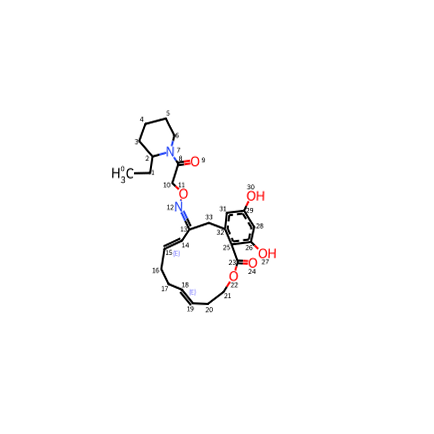 CCC1CCCCN1C(=O)CON=C1/C=C/CC/C=C/CCOC(=O)c2c(O)cc(O)cc2C1